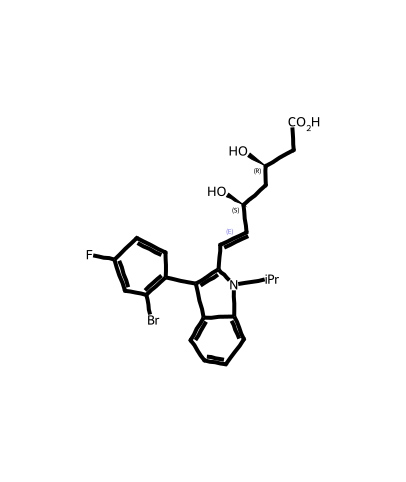 CC(C)n1c(/C=C/[C@@H](O)C[C@@H](O)CC(=O)O)c(-c2ccc(F)cc2Br)c2ccccc21